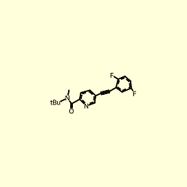 CN(C(=O)c1ccc(C#Cc2cc(F)ccc2F)cn1)C(C)(C)C